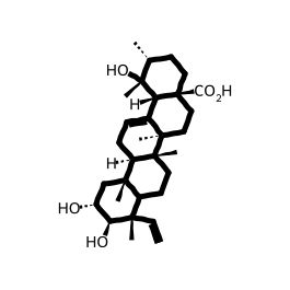 C=C[C@@]1(C)C2CC[C@]3(C)[C@H](CC=C4[C@H]5[C@](C(=O)O)(CC[C@@H](C)[C@@]5(C)O)CC[C@]43C)[C@@]2(C)C[C@@H](O)[C@@H]1O